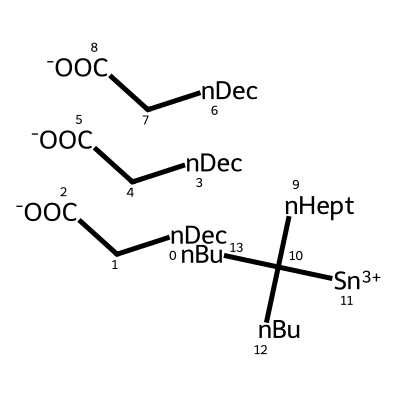 CCCCCCCCCCCC(=O)[O-].CCCCCCCCCCCC(=O)[O-].CCCCCCCCCCCC(=O)[O-].CCCCCCC[C]([Sn+3])(CCCC)CCCC